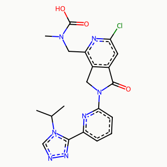 CC(C)n1cnnc1-c1cccc(N2Cc3c(cc(Cl)nc3CN(C)C(=O)O)C2=O)n1